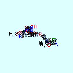 CCOC(=O)c1ncsc1-c1ccc(CNC(=O)[C@@H]2C[C@@H](O)CN2C(=O)[C@@H](NC(=O)COCCCCOc2ccc(-c3ccc(N4C(=S)C(c5ccc(C#N)c(C(F)(F)F)c5)C(=O)C4(C)C)cc3)cc2)C(C)(C)C)cc1